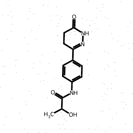 CC(O)C(=O)Nc1ccc(C2=NNC(=O)CC2)cc1